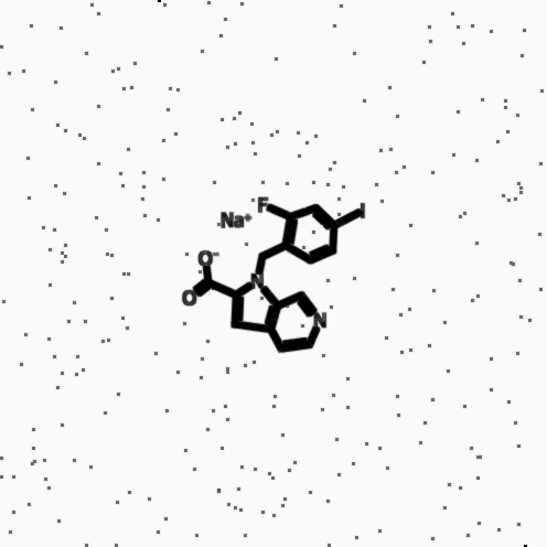 O=C([O-])c1cc2ccncc2n1Cc1ccc(I)cc1F.[Na+]